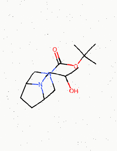 CC(O)CN1C2CCC1CN(C(=O)OC(C)(C)C)C2